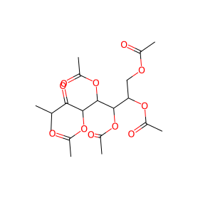 CC(=O)OCC(OC(C)=O)C(OC(C)=O)C(OC(C)=O)C(OC(C)=O)C(=O)C(C)C